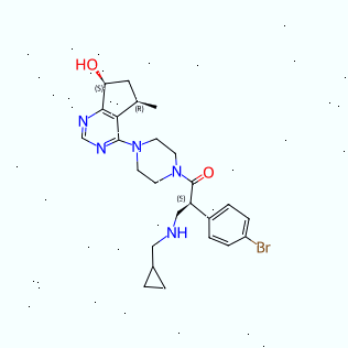 C[C@@H]1C[C@H](O)c2ncnc(N3CCN(C(=O)[C@H](CNCC4CC4)c4ccc(Br)cc4)CC3)c21